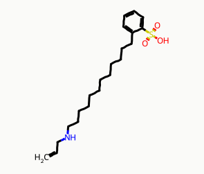 C=CCNCCCCCCCCCCCCc1ccccc1S(=O)(=O)O